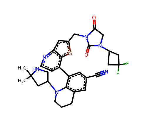 CC1(C)CC(N2CCCc3cc(C#N)cc(-c4ccnc5cc(CN6C(=O)CN(C7CC(F)(F)C7)C6=O)sc45)c32)CN1